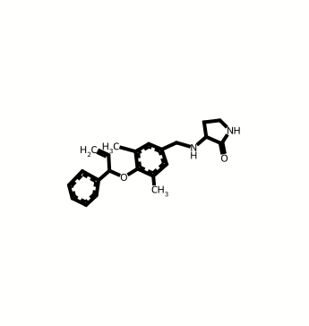 C=CC(Oc1c(C)cc(CNC2CCNC2=O)cc1C)c1ccccc1